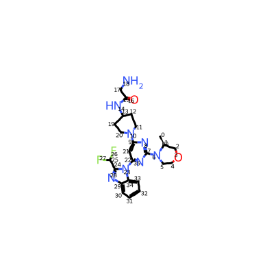 C[C@H]1COCCN1c1nc(N2CCC(NC(=O)CN)CC2)cc(-n2c(C(F)F)nc3ccccc32)n1